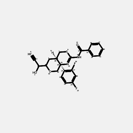 C#CC(O)C1C[C@H]2CSC(NC(=O)c3ccccc3)=N[C@@]2(c2ccc(F)cc2F)CO1